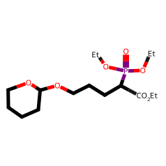 CCOC(=O)C(CCCOC1CCCCO1)P(=O)(OCC)OCC